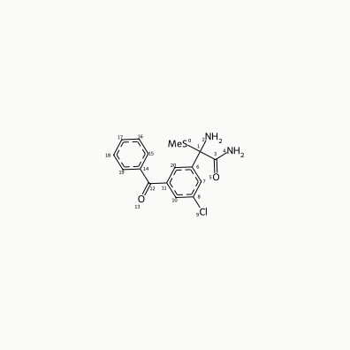 CSC(N)(C(N)=O)c1cc(Cl)cc(C(=O)c2ccccc2)c1